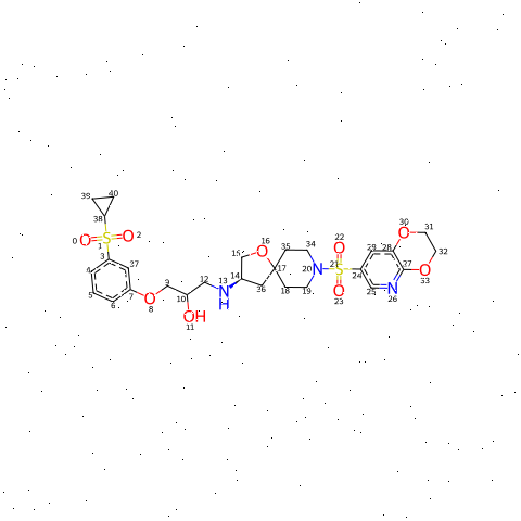 O=S(=O)(c1cccc(OCC(O)CN[C@H]2COC3(CCN(S(=O)(=O)c4cnc5c(c4)OCCO5)CC3)C2)c1)C1CC1